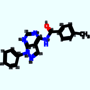 Cc1ccc(C(=O)Nc2ncnc3c2cnn3-c2ccccc2)cc1